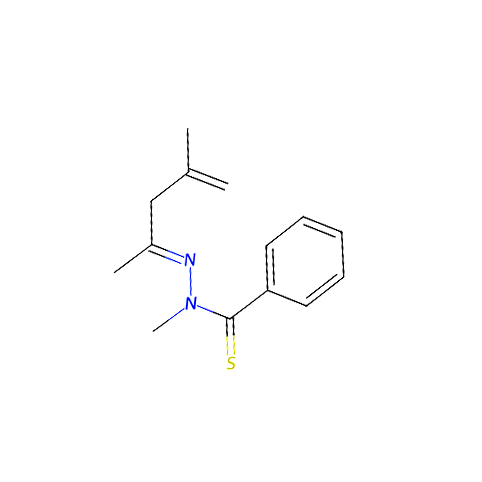 C=C(C)C/C(C)=N/N(C)C(=S)c1ccccc1